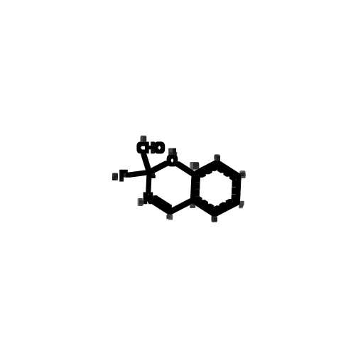 O=CC1(F)N=Cc2ccccc2O1